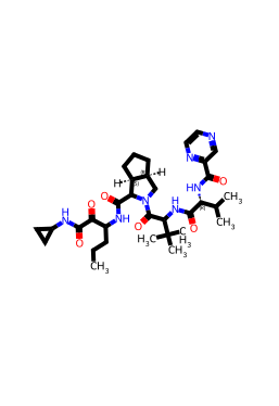 CCCC(NC(=O)C1[C@H]2CCC[C@H]2CN1C(=O)C(NC(=O)[C@H](NC(=O)c1cnccn1)C(C)C)C(C)(C)C)C(=O)C(=O)NC1CC1